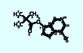 CC(C)(C)C(=O)On1ccc2c(Br)cncc21